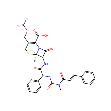 CN(C(=O)/C=C/c1ccccc1)C(=O)NC(C(=O)NC1C(=O)N2C(C(=O)O)=C(COC(N)=O)CS[C@H]12)c1ccccc1